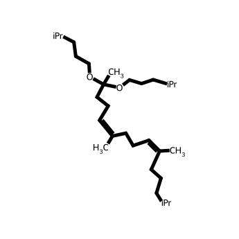 CC(=CCCC(C)(OCCCC(C)C)OCCCC(C)C)CCC=C(C)CCCC(C)C